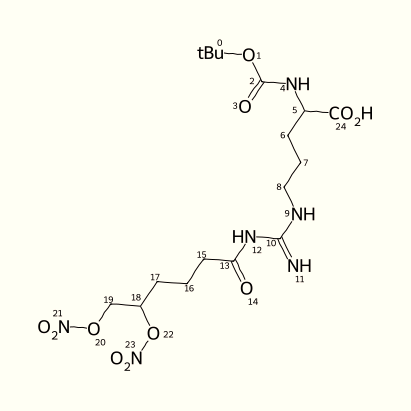 CC(C)(C)OC(=O)NC(CCCNC(=N)NC(=O)CCCC(CO[N+](=O)[O-])O[N+](=O)[O-])C(=O)O